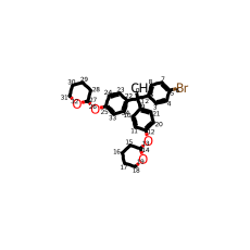 CC(c1ccc(Br)cc1)(c1ccc(OC2CCCCO2)cc1)c1ccc(OC2CCCCO2)cc1